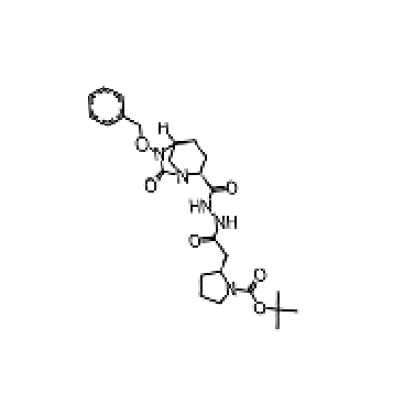 CC(C)(C)OC(=O)N1CCC[C@H]1CC(=O)NNC(=O)[C@@H]1CC[C@@H]2CN1C(=O)N2OCc1ccccc1